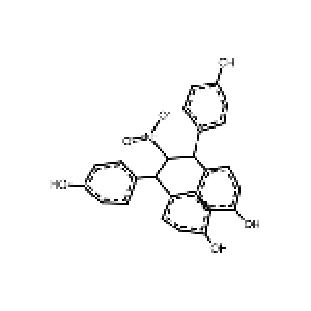 O=[N+]([O-])C(C(c1ccc(O)cc1)c1ccc(O)cc1)C(c1ccc(O)cc1)c1ccc(O)cc1